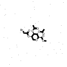 COC(=O)[C@H]1OC[C@H](OC(=O)CBr)[C@@H](OC(C)=O)[C@@H]1OC(C)=O